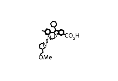 COCCC1CCCN(CCN2CCn3c(c(C4CCCCC4)c4ccc(C(=O)O)cc43)-c3ccc(C)cc32)C1